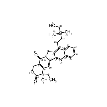 CC[C@@]1(O)C(=O)OCc2c1cc1n(c2=O)Cc2c-1nc1ccccc1c2CC[Si](C)(C)CO